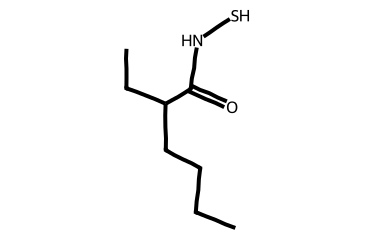 CCCCC(CC)C(=O)NS